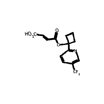 O=C(O)/C=C/C(=O)OC1(c2ccc(C(F)(F)F)cn2)CCC1